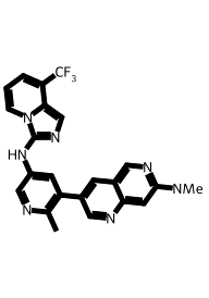 CNc1cc2ncc(-c3cc(Nc4ncc5c(C(F)(F)F)cccn45)cnc3C)cc2cn1